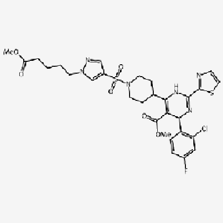 COC(=O)CCCCn1cc(S(=O)(=O)N2CCC(C3=C(C(=O)OC)C(c4ccc(F)cc4Cl)N=C(c4nccs4)N3)CC2)cn1